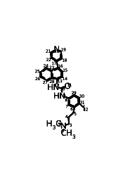 CN(C)CCCc1cc(NC(=O)Nc2ccc(-c3ccncc3)c3ccccc23)ccc1I